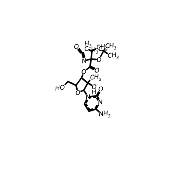 CC(C)C(N=C=O)(OC(C)(C)C)C(=O)OC1C(CO)OC(n2ccc(N)nc2=O)C1(C)O